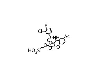 CC(=O)c1ccc2c(c1)[C@H](NC(=O)c1ccc(F)c(Cl)c1)[C@H](OC(=O)OCCS(=O)(=O)O)C(C)(C)O2